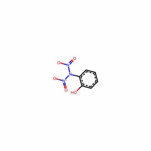 O=[N+]([O-])N(c1ccccc1O)[N+](=O)[O-]